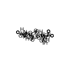 CC(C)C(=O)Nc1nc(OC(=O)N(c2ccccc2)c2ccccc2)c2ncn(C3OC4CCP(=O)(O)OC5C(CCP(=O)(O)OC3C4O)OC(n3cnc4c(NC(=O)c6ccccc6)ncnc43)C5O)c2n1